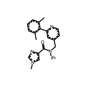 Cc1cccc(C)c1-c1cc(CN(C(=O)c2cn(C)cn2)C(C)C)ccn1